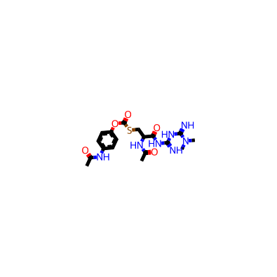 CC(=O)Nc1ccc(OC(=O)SCC(NC(C)=O)C(=O)NC(=N)NC(=N)N(C)C)cc1